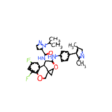 CC1=NCC(C)=C1c1ccc(NC(=O)[C@@H](NC(=O)c2ccnn2C(C)C)C2c3cc(F)cc(F)c3OCC23CC3)cc1